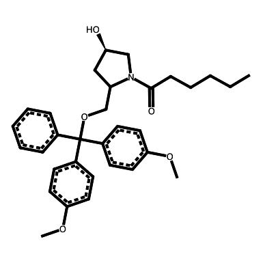 CCCCCC(=O)N1C[C@H](O)CC1COC(c1ccccc1)(c1ccc(OC)cc1)c1ccc(OC)cc1